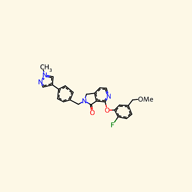 COCc1ccc(F)c(Oc2nccc3c2C(=O)N(Cc2ccc(-c4cnn(C)c4)cc2)C3)c1